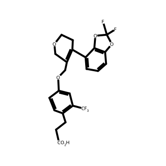 O=C(O)CCc1ccc(OCC2=C(c3cccc4c3OC(F)(F)O4)CCOC2)cc1C(F)(F)F